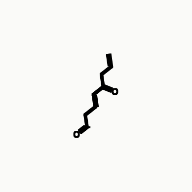 C=CCC(=O)C=CC[C]=O